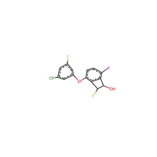 OC1c2c(I)ccc(Oc3cc(F)cc(Cl)c3)c2C1F